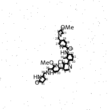 COc1nc(-c2ccnc(-c3cccc(NC(=O)c4ccc(CN5CC(OC)C5)cn4)c3C)c2Cl)ccc1CNCC1CCC(=O)N1